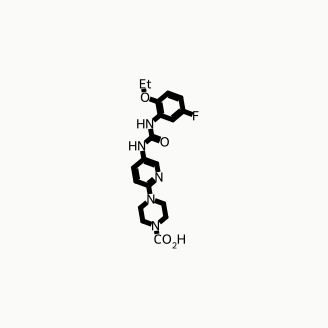 CCOc1ccc(F)cc1NC(=O)Nc1ccc(N2CCN(C(=O)O)CC2)nc1